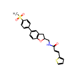 CS(=O)(=O)c1ccc(-c2ccc3c(c2)CC(CNC(=O)C=Cc2cccs2)O3)cc1